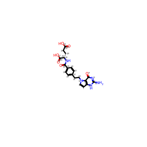 Nc1nc(=O)c2c(ccn2CCc2ccc(C(=O)N[C@@H](CCC(=O)O)C(=O)O)cc2)[nH]1